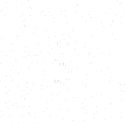 COc1cc(Cl)c(Br)cc1CNC(=O)C1CCNCC1